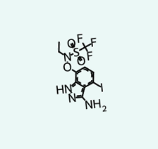 CCN(Oc1ccc(I)c2c(N)n[nH]c12)S(=O)(=O)C(F)(F)F